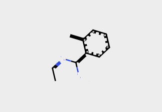 C=c1cccc/c1=C(N)/N=C\C